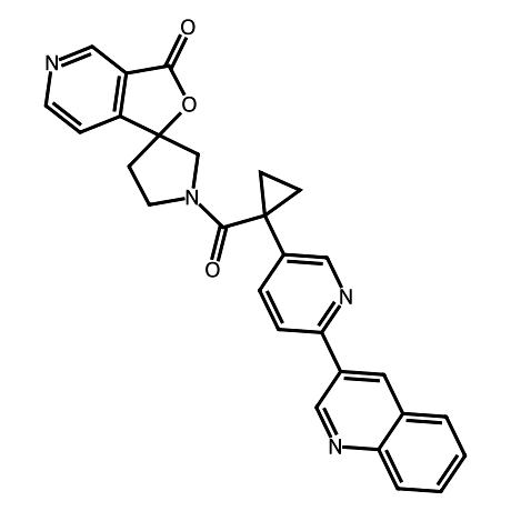 O=C1OC2(CCN(C(=O)C3(c4ccc(-c5cnc6ccccc6c5)nc4)CC3)C2)c2ccncc21